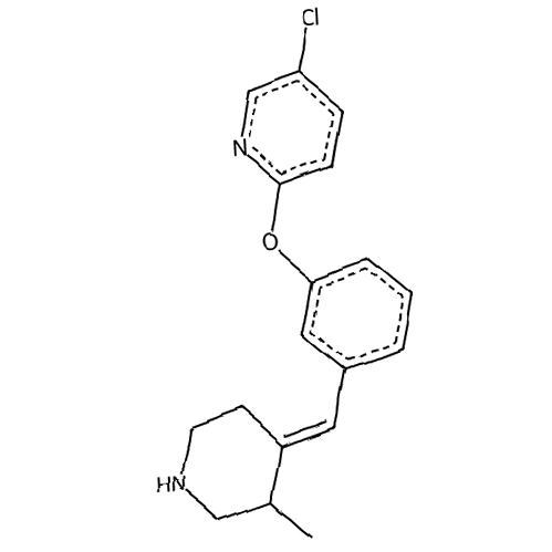 CC1CNCC/C1=C\c1cccc(Oc2ccc(Cl)cn2)c1